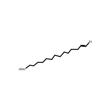 [CH2]CC=CCCCCCCCCCCCCCCCCCCCCC[CH2]